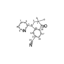 CC1(C)CC(c2ccccn2)c2cc(C#N)ccc2C1=O